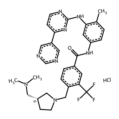 Cc1ccc(NC(=O)c2ccc(CN3CC[C@H](CN(C)C)C3)c(C(F)(F)F)c2)cc1Nc1nccc(-c2cncnc2)n1.Cl